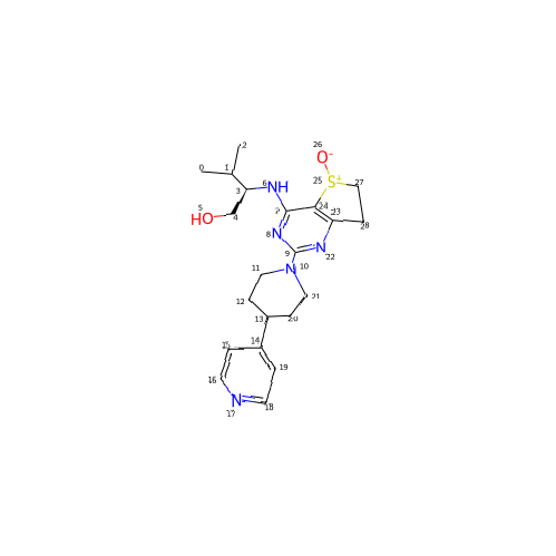 CC(C)[C@H](CO)Nc1nc(N2CCC(c3ccncc3)CC2)nc2c1[S+]([O-])CC2